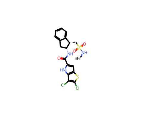 CCCNS(=O)(=O)C[C@H]1c2ccccc2C[C@H]1NC(=O)c1cc2sc(Cl)c(Cl)c2[nH]1